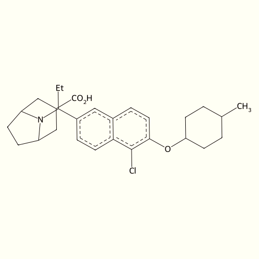 CCC(c1ccc2c(Cl)c(OC3CCC(C)CC3)ccc2c1)N1C2CCC1CC(C(=O)O)C2